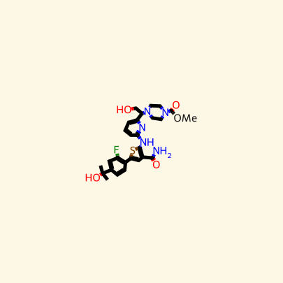 COC(=O)N1CCN(C(CO)c2cccc(Nc3sc(-c4ccc(C(C)(C)O)cc4F)cc3C(N)=O)n2)CC1